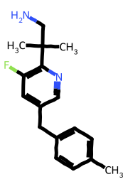 Cc1ccc(Cc2cnc(C(C)(C)CN)c(F)c2)cc1